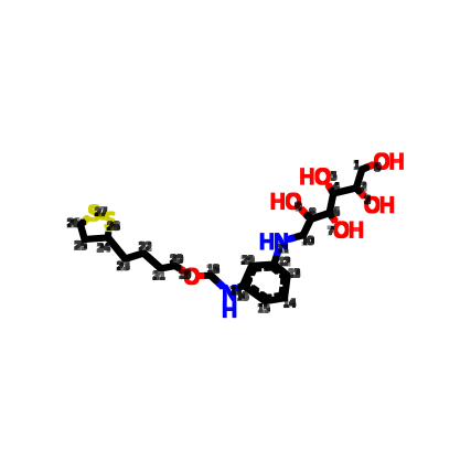 OCC(O)C(O)C(O)C(O)CNc1cccc(NCOCCCCC2CCSS2)c1